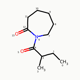 CCC(C)C(=O)N1CCCCCC1=O